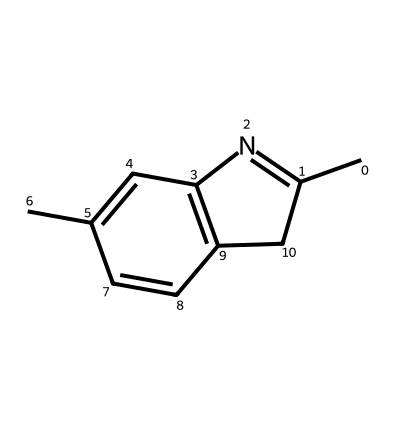 CC1=Nc2cc(C)ccc2C1